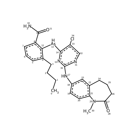 CCCCc1cccc(C(N)=O)c1[AsH]c1nc(Nc2ccc3c(c2)CCCC(=O)N3C)ncc1Cl